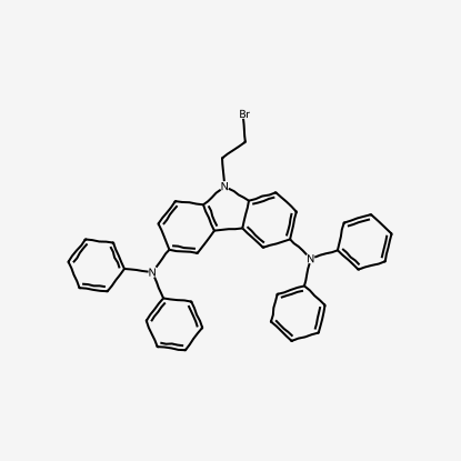 BrCCn1c2ccc(N(c3ccccc3)c3ccccc3)cc2c2cc(N(c3ccccc3)c3ccccc3)ccc21